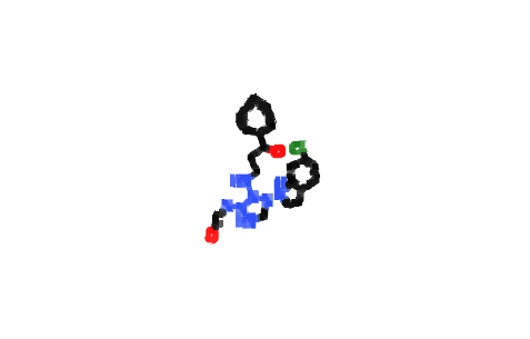 Clc1ccc2cc[nH]c2c1.O=C=NN1NC=NN1NCCC(=O)c1ccccc1